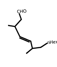 CCCCCCCC(C)C=CC(C)CC=O